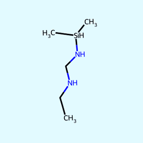 CCNCN[SiH](C)C